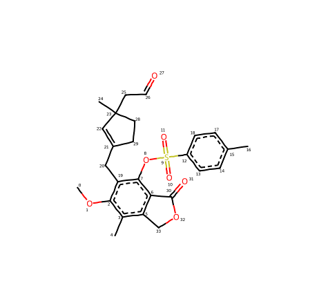 COc1c(C)c2c(c(OS(=O)(=O)c3ccc(C)cc3)c1CC1=CC(C)(CC=O)CC1)C(=O)OC2